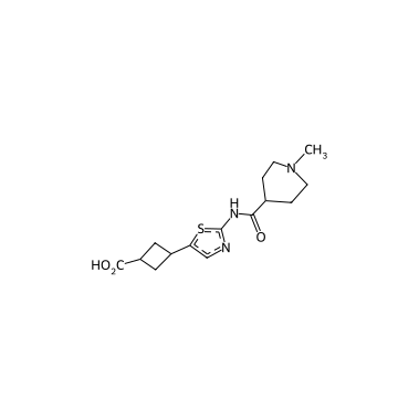 CN1CCC(C(=O)Nc2ncc(C3CC(C(=O)O)C3)s2)CC1